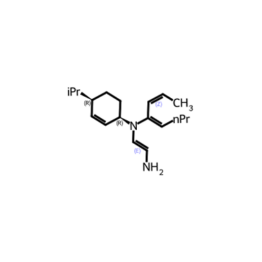 C/C=C\C(=CCCC)N(/C=C/N)[C@H]1C=C[C@@H](C(C)C)CC1